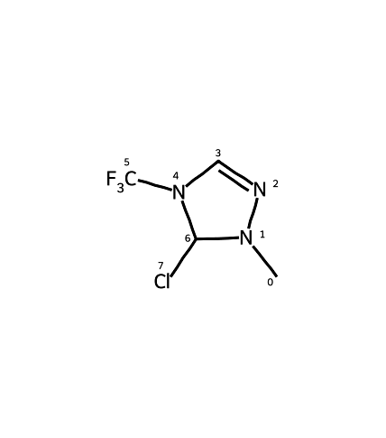 CN1N=CN(C(F)(F)F)C1Cl